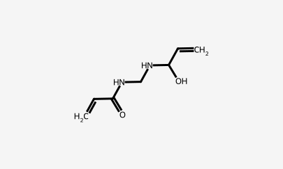 C=CC(=O)NCNC(O)C=C